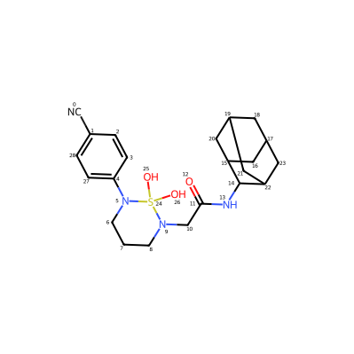 N#Cc1ccc(N2CCCN(CC(=O)NC3C4CC5CC(C4)CC3C5)S2(O)O)cc1